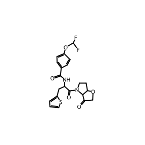 O=C(NC(Cc1cccs1)C(=O)N1CCC2OCC(=O)C21)c1ccc(OC(F)F)cc1